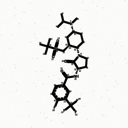 CC(C)N(C)[C@@H]1CC[C@H](N2CC[C@H](NC(=O)c3ccc(F)c(C(F)(F)F)c3)C2=O)[C@@H](CS(=O)(=O)C(C)(C)C)C1